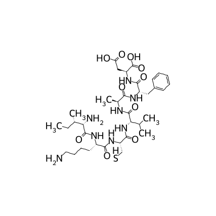 CC[C@H](C)[C@H](N)C(=O)N[C@@H](CCCCN)C(=O)N[C@@H](CS)C(=O)N[C@H](C(=O)N[C@@H](C)C(=O)N[C@@H](Cc1ccccc1)C(=O)N[C@@H](CC(=O)O)C(=O)O)C(C)C